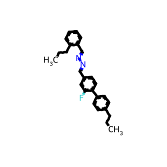 CCCc1ccc(-c2ccc(C=NN=Cc3ccccc3CCC)cc2F)cc1